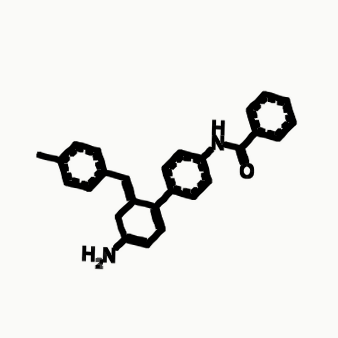 Cc1ccc(C=C2CC(N)=CC=C2c2ccc(NC(=O)c3ccccc3)cc2)cc1